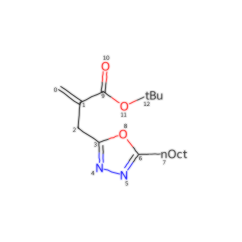 C=C(Cc1nnc(CCCCCCCC)o1)C(=O)OC(C)(C)C